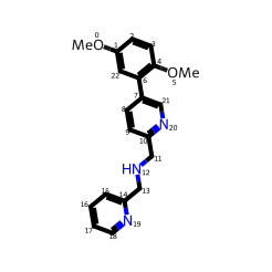 COc1ccc(OC)c(-c2ccc(CNCc3ccccn3)nc2)c1